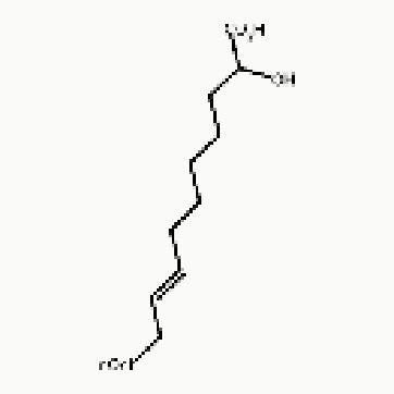 CCCCCCCCC/C=C/CCCCCC(O)C(=O)O